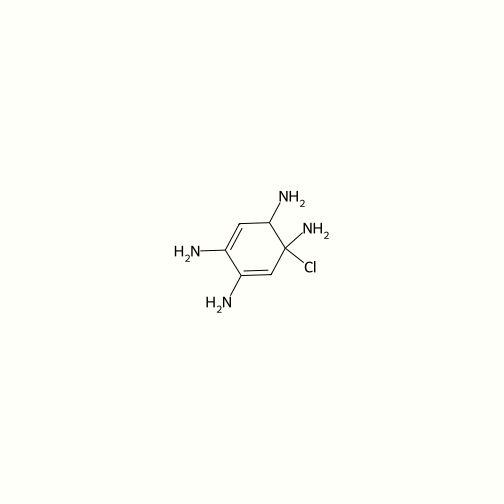 NC1=CC(N)C(N)(Cl)C=C1N